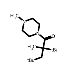 CN1CCN(C(=O)C(C)(CC(C)(C)C)C(C)(C)C)CC1